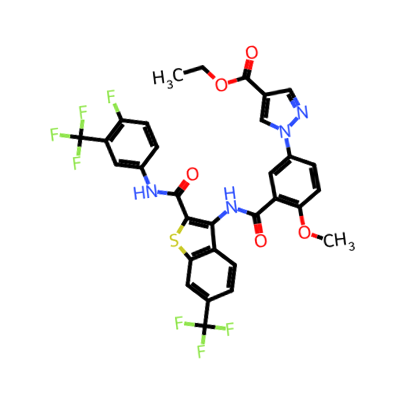 CCOC(=O)c1cnn(-c2ccc(OC)c(C(=O)Nc3c(C(=O)Nc4ccc(F)c(C(F)(F)F)c4)sc4cc(C(F)(F)F)ccc34)c2)c1